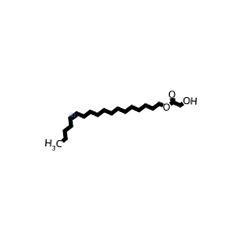 CCCC/C=C\CCCCCCCCCCCCOC(=O)CO